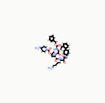 NCCCC[C@H](NC(=O)[C@@H]1C[C@@H](OC(=O)N2CCC(N)CC2)CN1C(=O)[C@@H](CCc1ccccc1)NC(=O)OCc1ccccc1)C(=O)c1nc2ccccc2o1